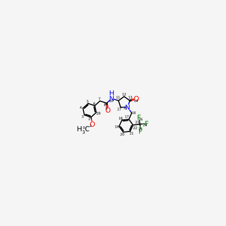 COc1cccc(CC(=O)NC2CC(=O)N(Cc3ccccc3C(F)(F)F)C2)c1